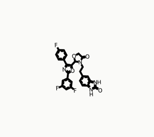 O=C1COC(c2oc(-c3cc(F)cc(F)c3)nc2-c2ccc(F)cc2)N1CCc1ccc2[nH]c(=O)[nH]c2c1